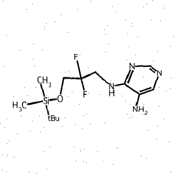 CC(C)(C)[Si](C)(C)OCC(F)(F)CNc1ncncc1N